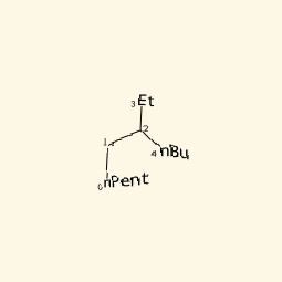 CCCCC[CH]C(CC)CCCC